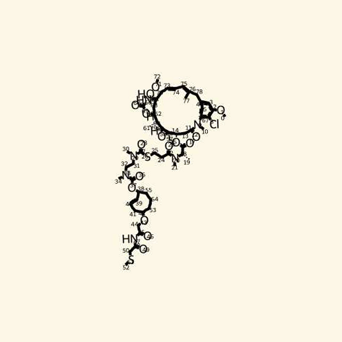 COc1cc2cc(c1Cl)N(C)C(=O)C[C@H](OC(=O)[C@H](C)N(C)C(=O)CCSC(=O)N(C)CCN(C)C(=O)OC1/C=C/CC(OCC(=O)NC(=O)CSC)CCC1)[C@]1(C)O[C@H]1[C@H](C)[C@@H]1C[C@@](O)(NC(=O)O1)[C@H](OC)/C=C/C=C(\C)C2